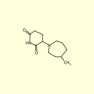 CC1CCCN(C2CCC(=O)NC2=O)CC1